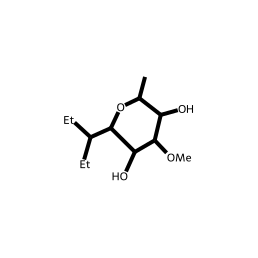 CCC(CC)C1OC(C)C(O)C(OC)C1O